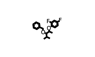 CC(C)C(OCc1ccccc1)C(C)Oc1ccc(F)cc1F